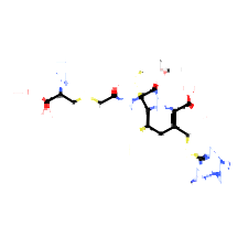 CSC1(NC(=O)CSCC(N)C(=O)O)C(=O)N2C(C(=O)[O-])=C(CSc3nnnn3C)CC(S)C21.[Na+]